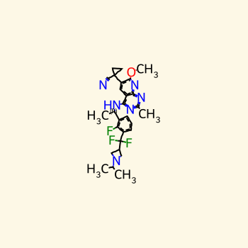 COc1nc2nc(C)nc(N[C@H](C)c3cccc(C(F)(F)C4CN(C(C)C)C4)c3F)c2cc1C1(C#N)CC1